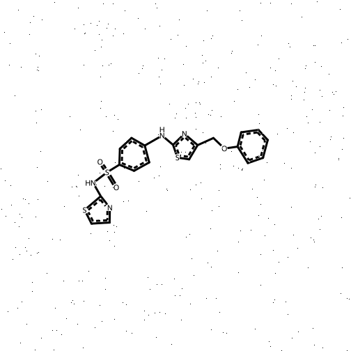 O=S(=O)(Nc1nccs1)c1ccc(Nc2nc(COc3ccccc3)cs2)cc1